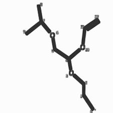 [CH2]CCOC(COC(C)C)OC=C